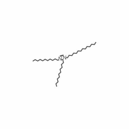 CCCCCCCCCCCCCCN1C=CN(CCCCCCCCCCC)C1CCCCCCCCCCC